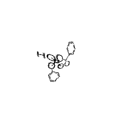 O=C(OP(=O)(O)Oc1ccccc1)c1ccccc1